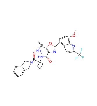 COc1ccc(-c2nc(C(=O)NC3(C(=O)N4Cc5ccccc5C4)CCC3)c([C@H](C)N)o2)c2ccc(C(F)(F)F)nc12